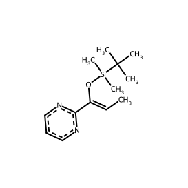 CC=C(O[Si](C)(C)C(C)(C)C)c1ncccn1